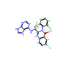 C[C@H](Nc1ncnc2[nH]cnc12)c1nc2ccc(F)cc2c(=O)n1-c1c(Cl)cccc1Cl